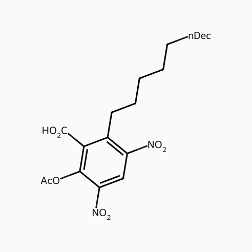 CCCCCCCCCCCCCCCc1c([N+](=O)[O-])cc([N+](=O)[O-])c(OC(C)=O)c1C(=O)O